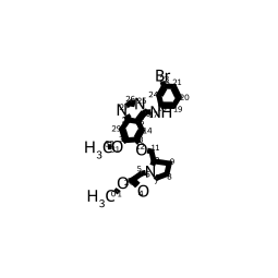 CCOC(=O)CN1CCCC1COc1cc2c(Nc3cccc(Br)c3)ncnc2cc1OC